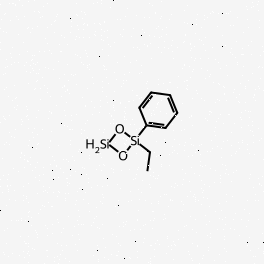 CC[Si]1(c2ccccc2)O[SiH2]O1